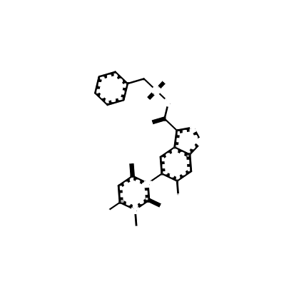 Cn1c(C(F)(F)F)cc(=O)n(-c2cc3c(C(=O)NS(=O)(=O)Cc4ccccc4)nsc3cc2F)c1=O